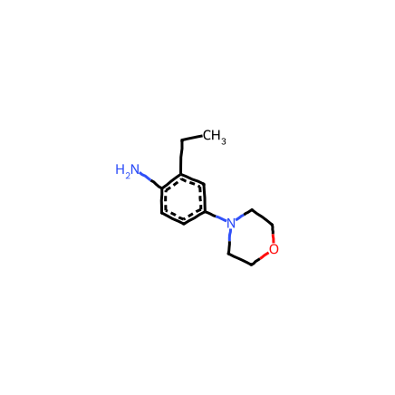 CCc1cc(N2CCOCC2)ccc1N